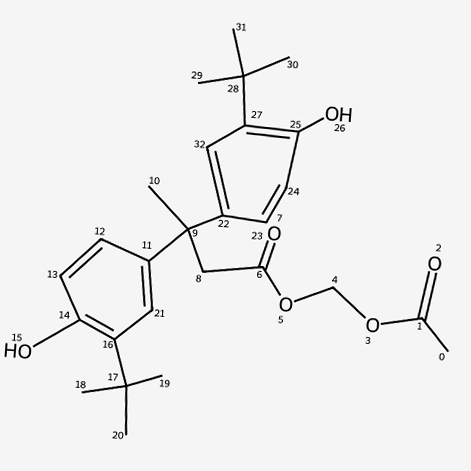 CC(=O)OCOC(=O)CC(C)(c1ccc(O)c(C(C)(C)C)c1)c1ccc(O)c(C(C)(C)C)c1